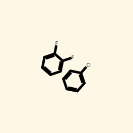 Clc1ccccc1.Fc1ccccc1F